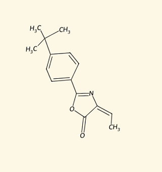 C/C=C1/N=C(c2ccc(C(C)(C)C)cc2)OC1=O